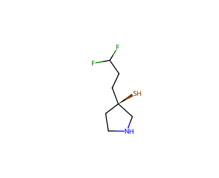 FC(F)CC[C@@]1(S)CCNC1